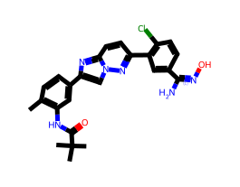 Cc1ccc(-c2cn3nc(-c4cc(/C(N)=N\O)ccc4Cl)ccc3n2)cc1NC(=O)C(C)(C)C